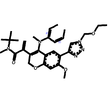 C=C(C(=O)N(C)C(C)(C)C)C1=C(N(C)C(/C=C\C)=C/C)c2cc(-c3cn(COCC)nn3)c(OC)cc2OC1